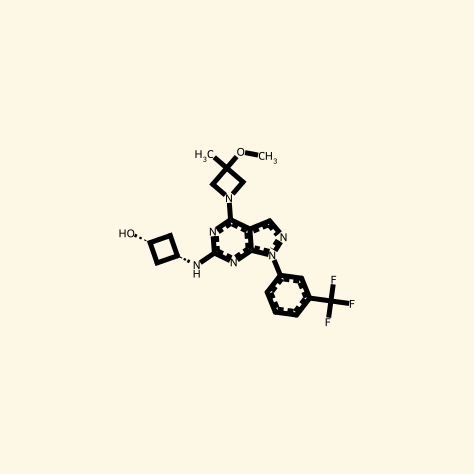 COC1(C)CN(c2nc(N[C@H]3C[C@@H](O)C3)nc3c2cnn3-c2cccc(C(F)(F)F)c2)C1